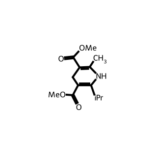 COC(=O)C1=C(C)NC(C(C)C)=C(C(=O)OC)C1